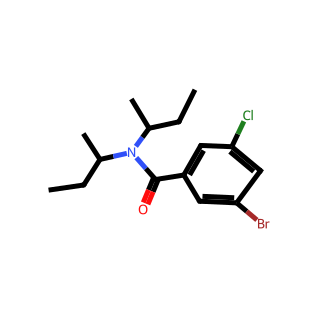 CCC(C)N(C(=O)c1cc(Cl)cc(Br)c1)C(C)CC